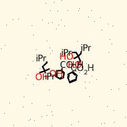 CC(C)CC(CO)(CO)CC(C)C.CC(C)CCC(CO)(CO)C(C)C.O=C(O)c1ccccc1.O=C(O)c1ccccc1